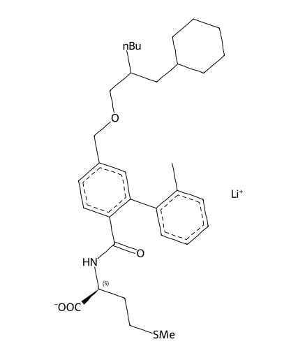 CCCCC(COCc1ccc(C(=O)N[C@@H](CCSC)C(=O)[O-])c(-c2ccccc2C)c1)CC1CCCCC1.[Li+]